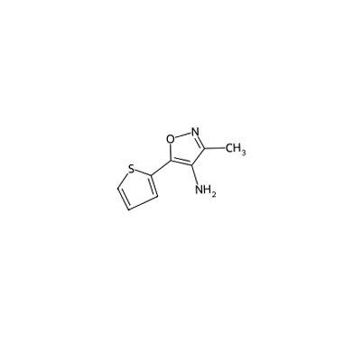 Cc1noc(-c2cccs2)c1N